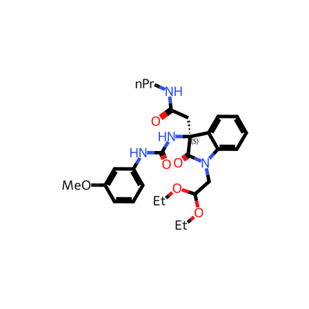 CCCNC(=O)C[C@@]1(NC(=O)Nc2cccc(OC)c2)C(=O)N(CC(OCC)OCC)c2ccccc21